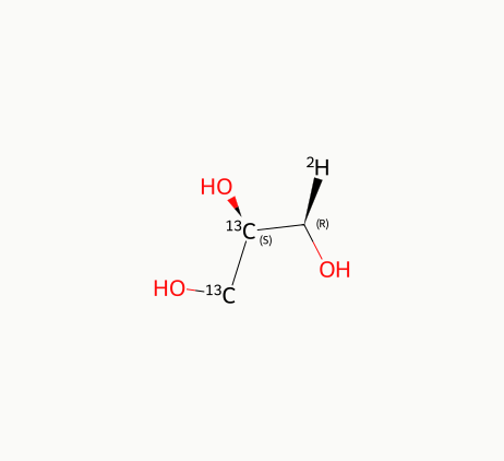 [2H][C@@H](O)[13C@H](O)[13CH2]O